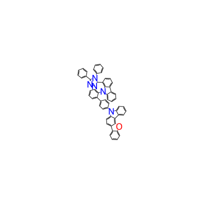 c1ccc(-c2nnc(-c3cccc4c5ccccc5n(-c5ccccc5-c5ccc(-n6c7ccccc7c7c8oc9ccccc9c8ccc76)cc5)c34)n2-c2ccccc2)cc1